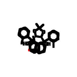 Cc1ccccc1C(O)(c1ccccc1C)[C@@H]1OC(C)(C)O[C@H]1C(O)(c1ccccc1C)c1ccccc1C